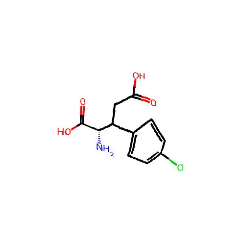 N[C@H](C(=O)O)C(CC(=O)O)c1ccc(Cl)cc1